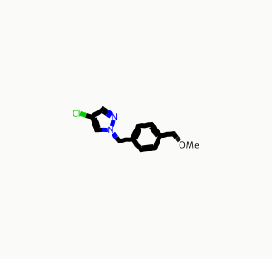 COCc1ccc(Cn2cc(Cl)cn2)cc1